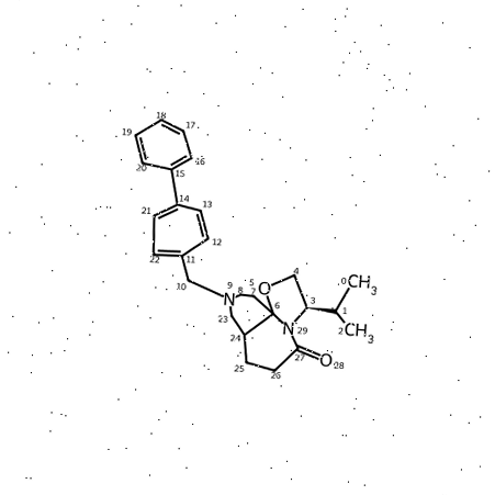 CC(C)[C@@H]1COC23CCN(Cc4ccc(-c5ccccc5)cc4)CC2CCC(=O)N13